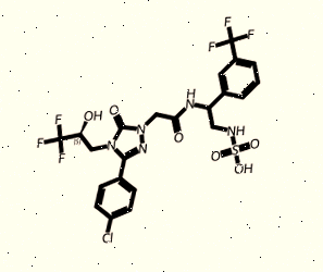 O=C(Cn1nc(-c2ccc(Cl)cc2)n(C[C@H](O)C(F)(F)F)c1=O)NC(CNS(=O)(=O)O)c1cccc(C(F)(F)F)c1